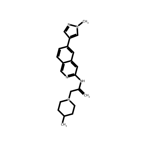 C=C(CN1CCC(C)CC1)Nc1cc2cc(-c3cnn(C)c3)ccc2cn1